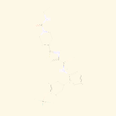 CCNC(=O)N1CCC(c2nc(C(=O)Nc3ccccc3-c3ccc(OC(F)(F)F)cc3)cs2)CC1